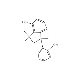 CC1(C)CC(C)(c2ccccc2O)c2cccc(O)c21